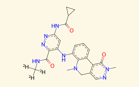 [2H]C([2H])([2H])NC(=O)c1nnc(NC(=O)C2CC2)cc1Nc1cccc2c1N(C)Cc1cnn(C)c(=O)c1-2